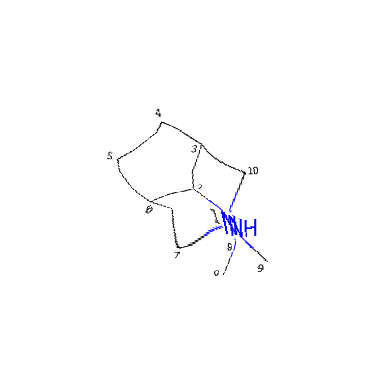 CNC1C2CCC1CN(C)C2